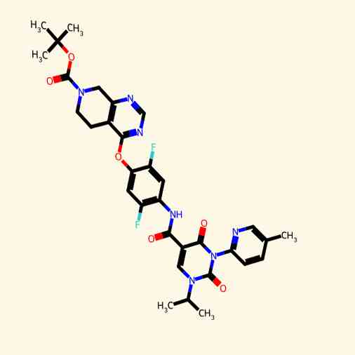 Cc1ccc(-n2c(=O)c(C(=O)Nc3cc(F)c(Oc4ncnc5c4CCN(C(=O)OC(C)(C)C)C5)cc3F)cn(C(C)C)c2=O)nc1